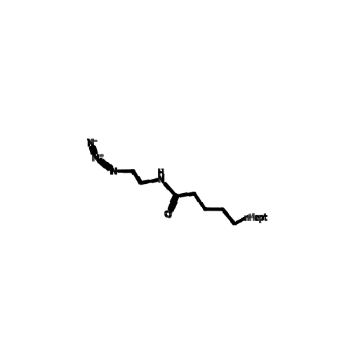 CCCCCCCCCCCC(=O)NCCN=[N+]=[N-]